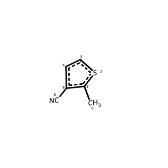 Cc1s[c]cc1C#N